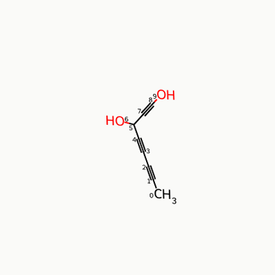 CC#CC#CC(O)C#CO